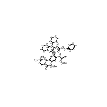 CC(C)(C)OC(=O)Nc1ccc(C2CC(O)(C(F)(F)F)CCN2C(=O)OC(C)(C)C)nc1NC(=O)C(NC(=O)OCc1ccccc1)C(C1CCCCC1)C1CCCCC1